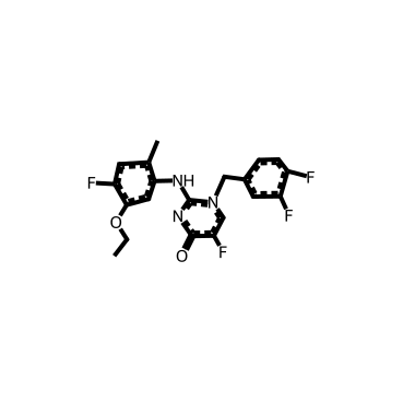 CCOc1cc(Nc2nc(=O)c(F)cn2Cc2ccc(F)c(F)c2)c(C)cc1F